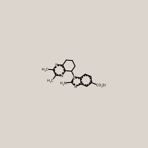 CCOC(=O)c1ccc2c(c1)nc(N)n2C1CCCc2nc(C)c(C)nc21